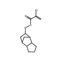 C=C(CC)C(=O)OOC1CC2CC1C1CCCC21